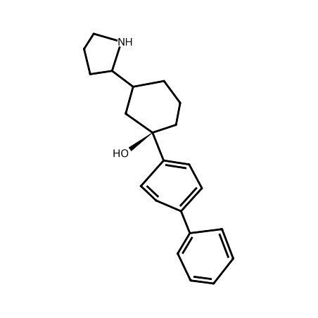 O[C@]1(c2ccc(-c3ccccc3)cc2)CCCC(C2CCCN2)C1